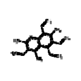 C=Cc1c(N)nc2c(C=C)c(N)c(C=C)c(C=C)c2c1N